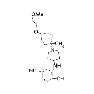 COCCO[C@H]1CC[C@](C)(N2CCC(Nc3cc(C#N)ccc3O)CC2)CC1